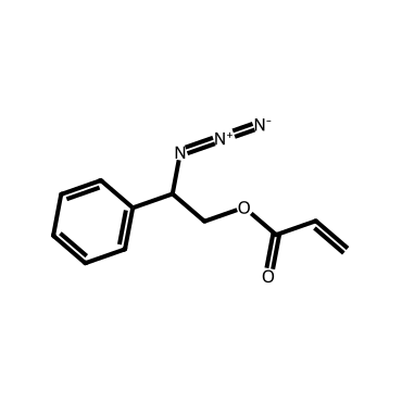 C=CC(=O)OCC(N=[N+]=[N-])c1ccccc1